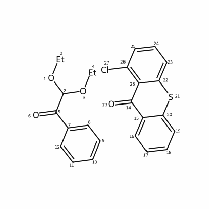 CCOC(OCC)C(=O)c1ccccc1.O=c1c2ccccc2sc2cccc(Cl)c12